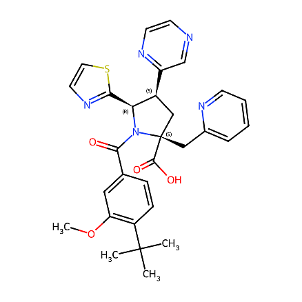 COc1cc(C(=O)N2[C@@H](c3nccs3)[C@@H](c3cnccn3)C[C@]2(Cc2ccccn2)C(=O)O)ccc1C(C)(C)C